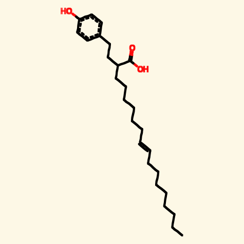 CCCCCCCCC=CCCCCCCC(CCc1ccc(O)cc1)C(=O)O